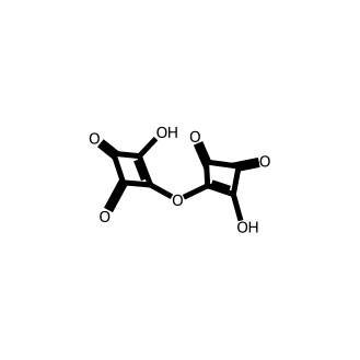 O=c1c(O)c(Oc2c(O)c(=O)c2=O)c1=O